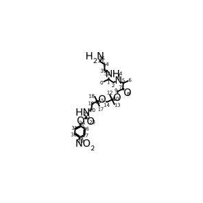 CC(CN(C)C(C)C(=O)COC(C)(C)COC(C)(C)CCNC(=O)Oc1ccc([N+](=O)[O-])cc1)NCCCN